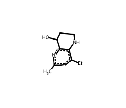 CCc1cc(C)nc2c1NCCC2O